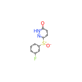 O=c1ccc([S+]([O-])c2cccc(F)c2)n[nH]1